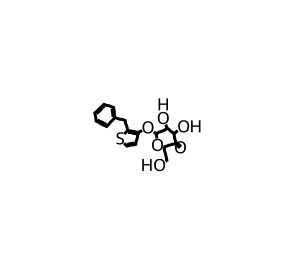 O=C1C(CO)OC(Oc2ccsc2Cc2ccccc2)C(O)C1O